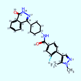 Cn1ncc(-c2ccc(C(=O)N[C@H]3CC[C@H](c4n[nH]c(=O)c5ccccc54)CC3)cc2F)c1C(F)(F)F